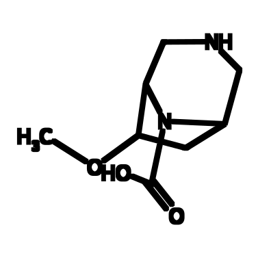 COC1CC2CNCC1N2C(=O)O